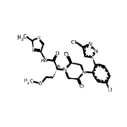 COCC[C@H](C(=O)NC1=NC(C)N=C1)N1CC(=O)N(c2cc(Cl)ccc2-n2cc(Cl)nn2)CC1=O